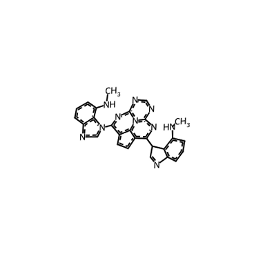 CNc1cccc2c1C(c1nc3ncnc4nc(-n5cnc6cccc(NC)c65)c5ccc1c5n34)C=N2